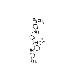 CN1CCC(Nc2cccc3c2cc(-c2ccc(CNc4ccc([S+](C)[O-])cc4)s2)n3CC(F)(F)F)CC1